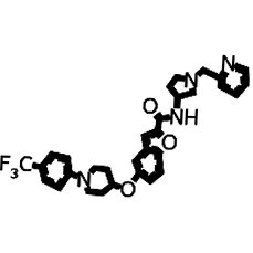 O=C(NC1CCN(Cc2ccccn2)C1)c1cc2cc(OC3CCN(c4ccc(C(F)(F)F)cc4)CC3)ccc2o1